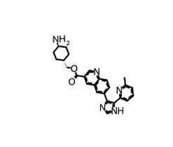 Cc1cccc(-c2[nH]cnc2-c2ccc3ncc(C(=O)OC[C@H]4CC[C@H](N)CC4)cc3c2)n1